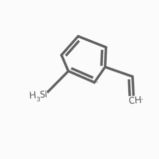 [CH]=Cc1[c]c([SiH3])ccc1